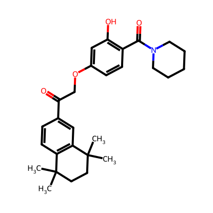 CC1(C)CCC(C)(C)c2cc(C(=O)COc3ccc(C(=O)N4CCCCC4)c(O)c3)ccc21